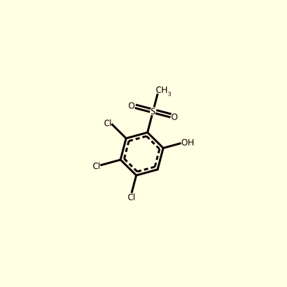 CS(=O)(=O)c1c(O)cc(Cl)c(Cl)c1Cl